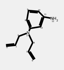 C=CCN(CC=C)c1cccc(N)c1